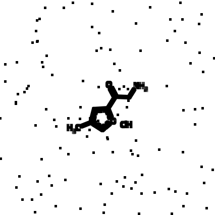 Cc1coc(C(=O)CN)c1.Cl